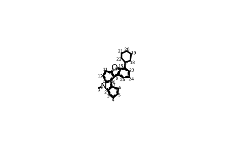 Cn1c2ccccc2c2c3c(ccc21)oc1c(C2CCCCC2)cccc13